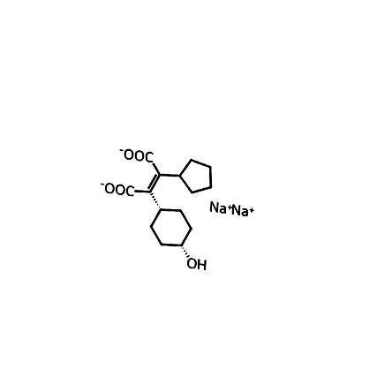 O=C([O-])/C(=C(\C(=O)[O-])[C@H]1CC[C@@H](O)CC1)C1CCCC1.[Na+].[Na+]